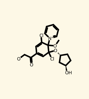 COC1([n+]2ccccc2)C(Cl)=CC(C(=O)C[O-])=CC1(Cl)O[C@@H]1CC[C@@H](O)C1